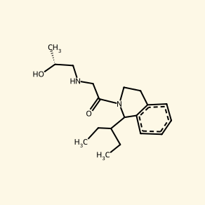 CCC(CC)C1c2ccccc2CCN1C(=O)CNC[C@@H](C)O